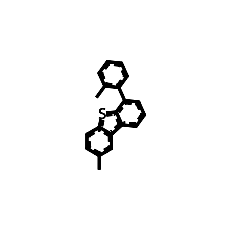 Cc1ccc2sc3c(-c4ccccc4C)cccc3c2c1